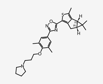 Cc1cc(-c2noc(-c3sc(C)c4c3C[C@@H]3[C@H]4C3(C)C)n2)cc(C)c1OCCCN1CCCC1